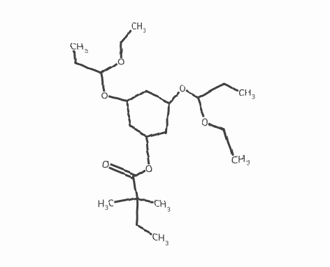 CCOC(CC)OC1CC(OC(=O)C(C)(C)CC)CC(OC(CC)OCC)C1